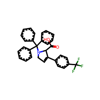 O=C(O)C1C(c2ccc(C(F)(F)F)cc2)=CCN1C(c1ccccc1)(c1ccccc1)c1ccccc1